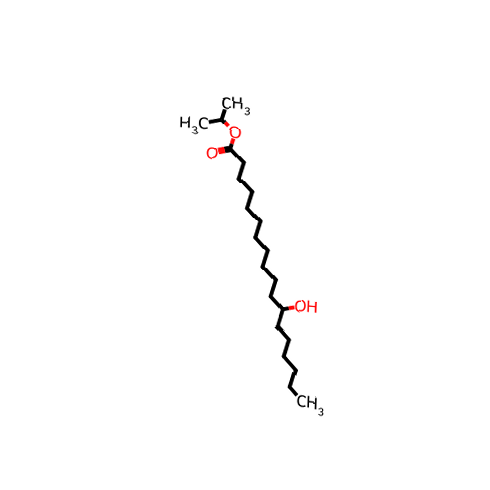 CCCCCCC(O)CCCCCCCCCCC(=O)OC(C)C